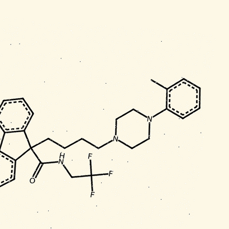 Cc1ccccc1N1CCN(CCCCC2(C(=O)NCC(F)(F)F)c3ccccc3-c3ccccc32)CC1